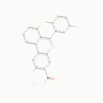 COC(=O)c1cc2nc3c4c(cccc4c2cc1F)Oc1ccc(F)cc1-3